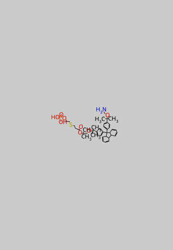 CC(C)(COC(C)(C)c1ccc(C2(c3ccc(C(C)(C)OCN)cc3)C3C=CC=CC3C3C=CC=CC32)cc1)OC(=O)CCSCCOP(=O)(O)O